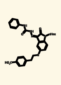 CCCCCCN1C(=O)C(=NNC(=O)Nc2ccccc2)c2cc(SCCc3ccc(C(=O)O)cc3)ccc21